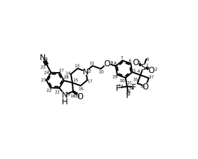 CS(=O)(=O)C1(c2ccc(OCCN3CCC4(CC3)C(=O)Nc3ccc(C#N)cc34)cc2C(F)(F)F)COC1